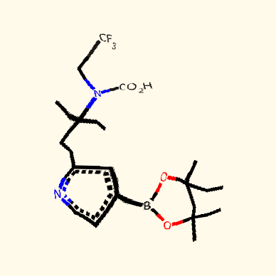 CC(C)(Cc1cc(B2OC(C)(C)C(C)(C)O2)ccn1)N(CC(F)(F)F)C(=O)O